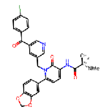 CN[C@@H](C)C(=O)Nc1ccc(-c2ccc3c(c2)OCO3)n(Cc2cncc(C(=O)c3ccc(F)cc3)c2)c1=O